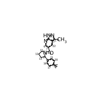 Cc1n[nH]c2ncc(C(=O)N3CCC[C@@H]3c3ccc(F)cc3)cc12